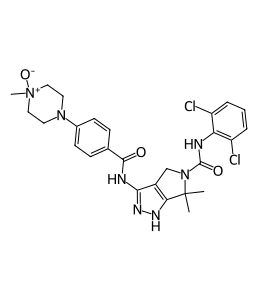 CC1(C)c2[nH]nc(NC(=O)c3ccc(N4CC[N+](C)([O-])CC4)cc3)c2CN1C(=O)Nc1c(Cl)cccc1Cl